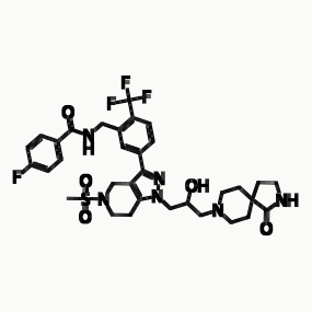 CS(=O)(=O)N1CCc2c(c(-c3ccc(C(F)(F)F)c(CNC(=O)c4ccc(F)cc4)c3)nn2CC(O)CN2CCC3(CCNC3=O)CC2)C1